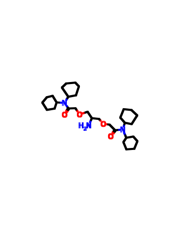 NC(COCC(=O)N(C1CCCCC1)C1CCCCC1)COCC(=O)N(C1CCCCC1)C1CCCCC1